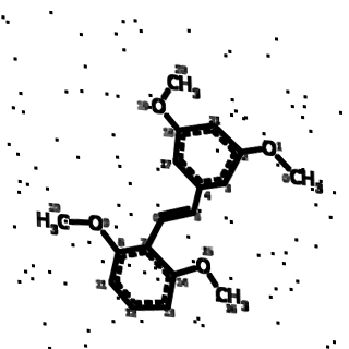 COc1cc(C=Cc2c(OC)cccc2OC)cc(OC)c1